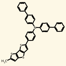 Cc1cc2sc3cc(-c4ccc(N(c5ccc(-c6ccccc6)cc5)c5ccc(-c6ccccc6)cc5)cc4)sc3c2s1